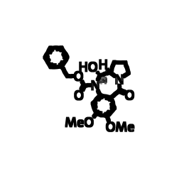 COc1cc2c(cc1OC)N(C(=O)OCc1ccccc1)[C@@H](O)[C@@H]1CCCN1C2=O